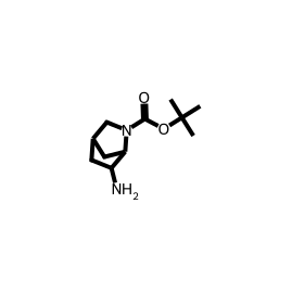 CC(C)(C)OC(=O)N1CC2CC(N)C1C2